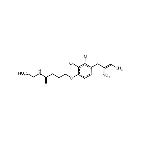 C/C=C(/Cc1ccc(OCCCC(=O)NCC(=O)O)c(Cl)c1Cl)[N+](=O)[O-]